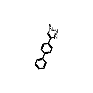 Cn1cc(-c2ccc(-c3ccccc3)cc2)nn1